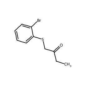 CCC(=O)CSc1ccccc1Br